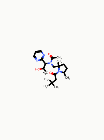 CC(=O)N(CC1(C)CCC(C)N1C(=O)CC(C)(C)C)C(c1ncccn1)C(C)O